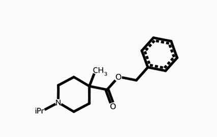 CC(C)N1CCC(C)(C(=O)OCc2ccccc2)CC1